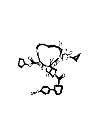 COc1ccc(-c2cccc(C(=O)N3C[C@H]4CN5C(=O)[C@@H](NC(=O)OC6CCCC6)CCCCC/C=C\[C@H]6C[C@@]6(C(=O)NS(=O)(=O)C6CC6)NC(=O)[C@@H]5[C@H]4C3)c2)cc1